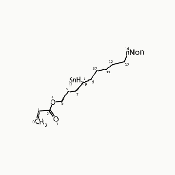 C=CC(=O)OCCCCCCCCCCCCCCCCCC.[SnH2]